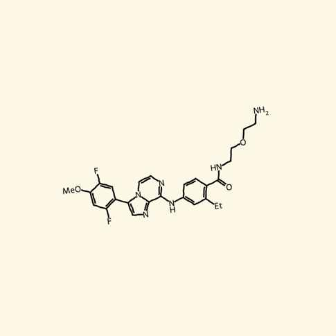 CCc1cc(Nc2nccn3c(-c4cc(F)c(OC)cc4F)cnc23)ccc1C(=O)NCCOCCN